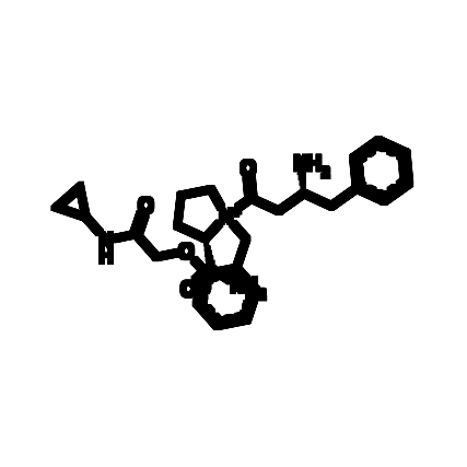 NC(=O)[C@@H]1CCC[N+]1(Cc1ccccc1OCC(=O)NC1CC1)C(=O)C[C@H](N)Cc1ccccc1